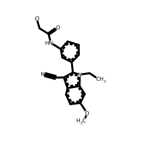 CCn1c(-c2cccc(NC(=O)CCl)c2)c(C#N)c2ccc(OC)cc21